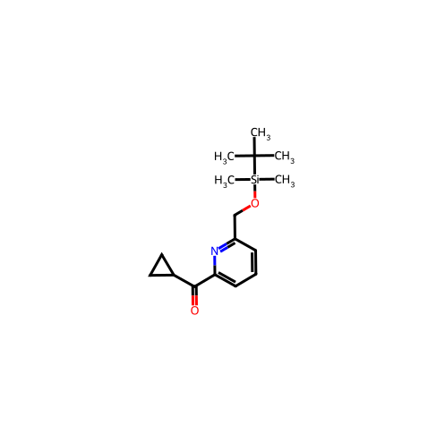 CC(C)(C)[Si](C)(C)OCc1cccc(C(=O)C2CC2)n1